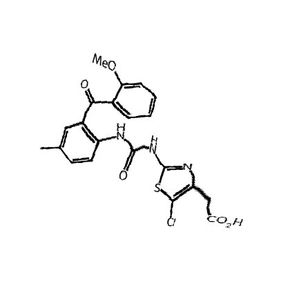 COc1ccccc1C(=O)c1cc(C)ccc1NC(=O)Nc1nc(CC(=O)O)c(Cl)s1